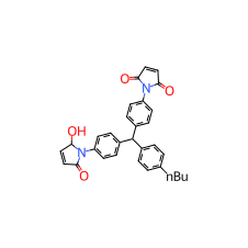 CCCCc1ccc(C(c2ccc(N3C(=O)C=CC3=O)cc2)c2ccc(N3C(=O)C=CC3O)cc2)cc1